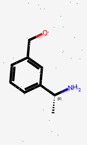 C[C@@H](N)c1cccc(C[O])c1